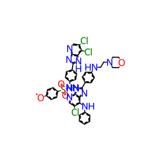 COc1ccc(S(=O)(=O)Nc2ccc(-c3nc4ncc(Cl)c(Cl)c4[nH]3)cc2)cc1.Clc1cnc2[nH]c(-c3ccc(NCCN4CCOCC4)cc3)nc2c1Nc1ccccc1